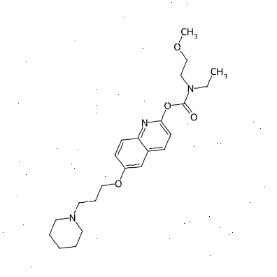 CCN(CCOC)C(=O)Oc1ccc2cc(OCCCN3CCCCC3)ccc2n1